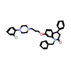 O=C1CC(c2ccccc2)c2ccc(OCCCN3CCN(c4ccccc4Cl)CC3)cc2N1Cc1ccccc1